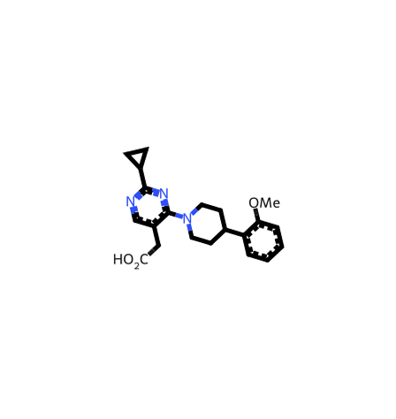 COc1ccccc1C1CCN(c2nc(C3CC3)ncc2CC(=O)O)CC1